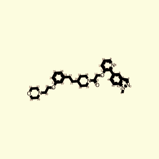 Cn1ncc2cc(-c3ncccc3OCC(=O)N3CCC(CCc4cccc(OCCN5CCOCC5)c4)CC3)ccc21